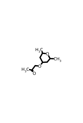 CC(=O)COC1CC(C)OC(C)C1